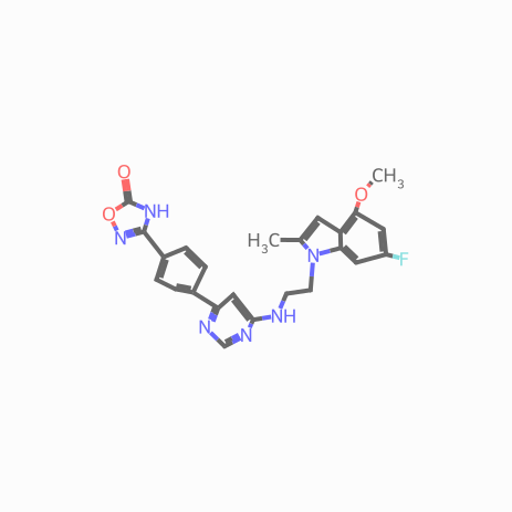 COc1cc(F)cc2c1cc(C)n2CCNc1cc(-c2ccc(-c3noc(=O)[nH]3)cc2)ncn1